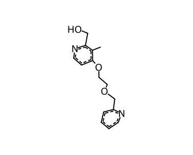 Cc1c(OCCOCc2ccccn2)ccnc1CO